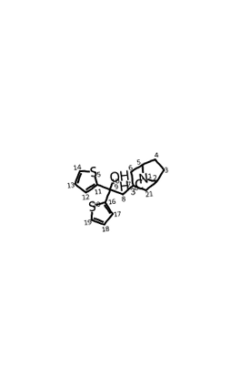 CN1C2CCC1CC(CC(O)(c1cccs1)c1cccs1)C2